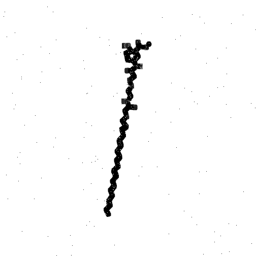 CCC=CCC=CCC=CCC=CCC=CCC=CCSCC(=O)NCCSSCC(=O)Nc1ccc(O)c(C(=O)OC)c1